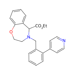 CCOC(=O)C1c2ccccc2OCCN1Cc1ccccc1-c1ccncc1